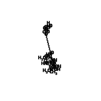 CC(C)N(C[C@H]1O[C@@H](n2cnc3c(NCCCCNC(=O)CCCCCCCCCCCCCCCOc4cccc5c4C(=O)N(C4CCC(=O)NC4=O)C5=O)ncnc32)[C@@H](O)[C@H]1O)C1CC(CCc2nc3cc(C(C)(C)C)ccc3[nH]2)C1